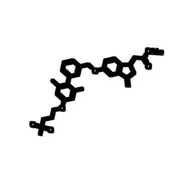 C=C1CC(CC(=O)OC)c2ccc(OCc3cccc(-c4c(C)cc(OCCCS(C)(=O)=O)cc4C)c3)cc21